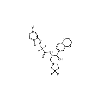 O=C(N[C@H](CN1CCC(F)(F)C1)[C@H](O)c1ccc2c(c1)OCCO2)C(F)(F)c1cc2cc(Cl)ccc2o1